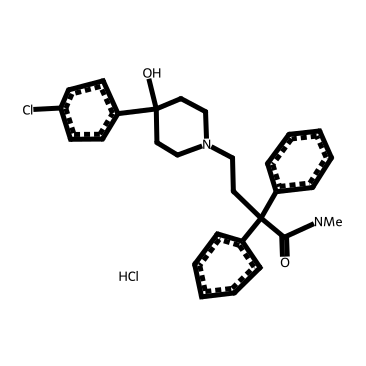 CNC(=O)C(CCN1CCC(O)(c2ccc(Cl)cc2)CC1)(c1ccccc1)c1ccccc1.Cl